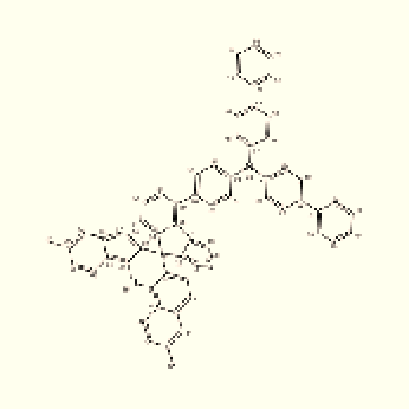 Cc1ccc2c3c(ccc2c1)C1(c2ccccc2-c2c(-c4ccc(N(c5ccc(-c6ccccc6)cc5)c5ccc(-c6ccccc6)cc5)cc4)cccc21)c1ccc2cc(C)ccc2c1O3